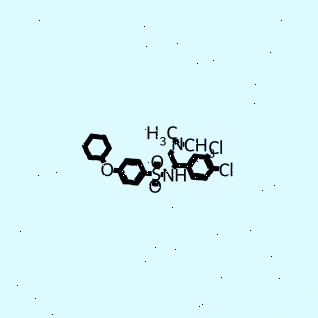 CN(C)CC(NS(=O)(=O)c1ccc(OC2CCCCC2)cc1)c1ccc(Cl)c(Cl)c1